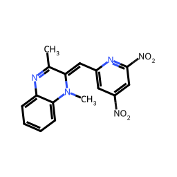 CC1=Nc2ccccc2N(C)C1=Cc1cc([N+](=O)[O-])cc([N+](=O)[O-])n1